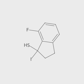 Fc1cccc2c1C(S)(I)CC2